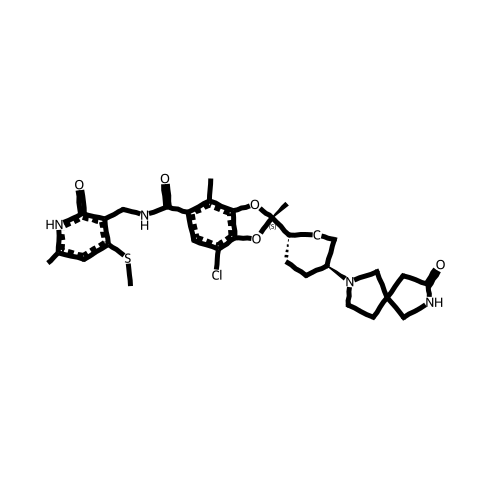 CSc1cc(C)[nH]c(=O)c1CNC(=O)c1cc(Cl)c2c(c1C)O[C@](C)([C@H]1CC[C@H](N3CCC4(CNC(=O)C4)C3)CC1)O2